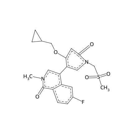 Cn1cc(-c2cn(CS(C)(=O)=O)c(=O)cc2OCC2CC2)c2cc(F)ccc2c1=O